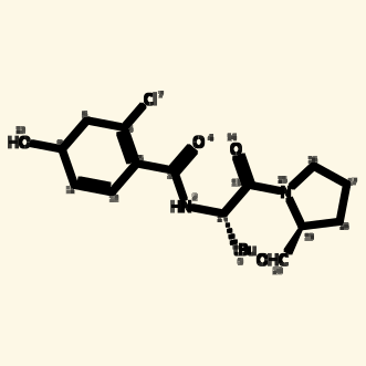 CC(C)(C)[C@H](NC(=O)C1=C(Cl)CC(O)C=C1)C(=O)N1CCC[C@H]1C=O